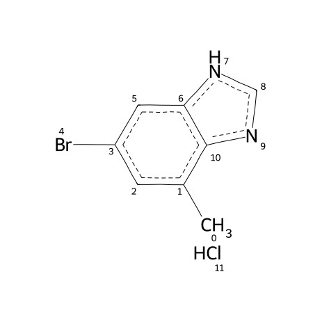 Cc1cc(Br)cc2[nH]cnc12.Cl